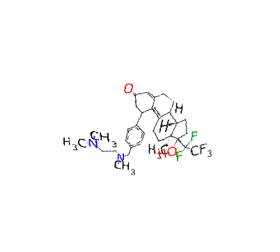 CN(C)CCN(C)Cc1ccc(C2CC(=O)C=C3CC[C@@H]4C(=C32)CC[C@@]2(C)[C@H]4CCC2(O)C(F)(F)C(F)(F)F)cc1